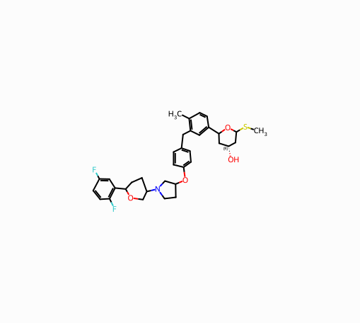 CSC1C[C@H](O)CC(c2ccc(C)c(Cc3ccc(OC4CCN(C5CCC(c6cc(F)ccc6F)OC5)C4)cc3)c2)O1